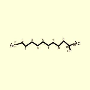 CC(=O)CCCCCCCCCC(C)C(C)=O